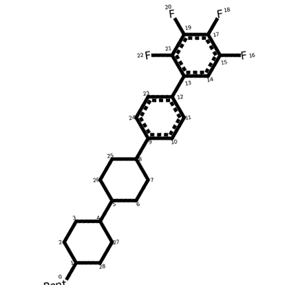 CCCCCC1CCC(C2CCC(c3ccc(-c4cc(F)c(F)c(F)c4F)cc3)CC2)CC1